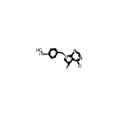 OBc1ccc(Cn2cc(F)c3c(Cl)ncnc32)cc1